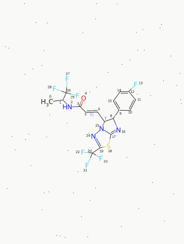 CC(NC(=O)/C=C/C1C(c2ccc(F)cc2)N=C2SC(C(F)(F)F)=NN21)C(F)(F)F